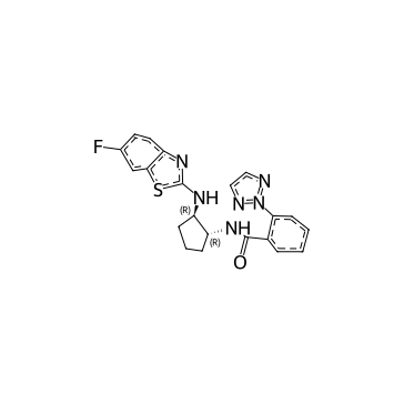 O=C(N[C@@H]1CCC[C@H]1Nc1nc2ccc(F)cc2s1)c1ccccc1-n1nccn1